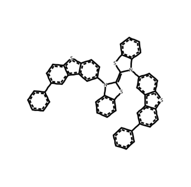 c1ccc(-c2ccc3sc4ccc(N5/C(=C6\Sc7ccccc7N6c6ccc7sc8ccc(-c9ccccc9)cc8c7c6)Sc6ccccc65)cc4c3c2)cc1